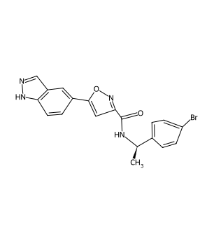 C[C@@H](NC(=O)c1cc(-c2ccc3[nH]ncc3c2)on1)c1ccc(Br)cc1